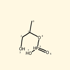 CC(CO)O[PH](=O)O